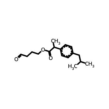 CC(C)Cc1ccc(C(C)C(=O)OCCCC=O)cc1